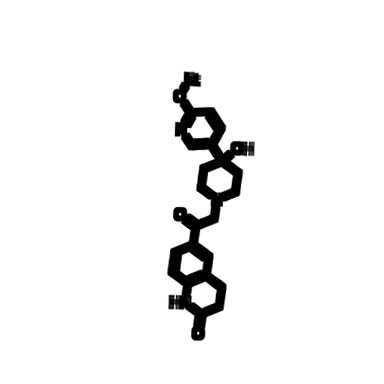 CCOc1ccc(C2(O)CCN(CC(=O)c3ccc4c(c3)CCC(=O)N4)CC2)cn1